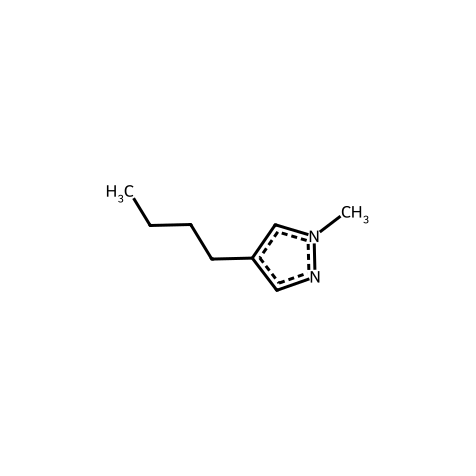 CCCCc1cnn(C)c1